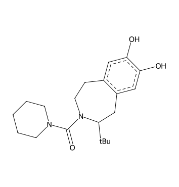 CC(C)(C)C1Cc2cc(O)c(O)cc2CCN1C(=O)N1CCCCC1